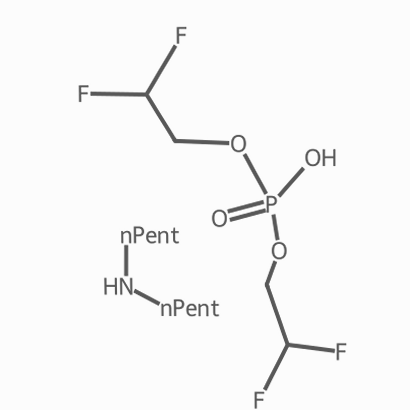 CCCCCNCCCCC.O=P(O)(OCC(F)F)OCC(F)F